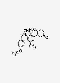 COc1ccc(CN(C)c2cc(C)cc(C3CC(=O)CCC3C)n2)cc1